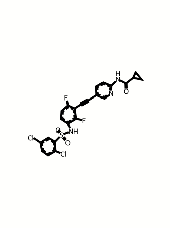 O=C(Nc1ccc(C#Cc2c(F)ccc(NS(=O)(=O)c3cc(Cl)ccc3Cl)c2F)cn1)C1CC1